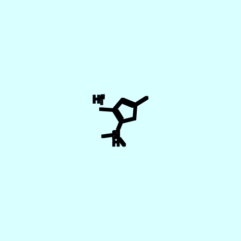 CC1=CC(C)=C([SiH](C)C)C1.[Hf]